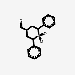 O=CC1CC(c2ccccc2)S(=O)(=O)C(c2ccccc2)C1